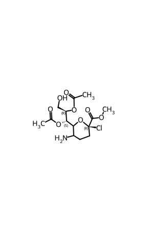 COC(=O)[C@]1(Cl)CCC(N)C([C@H](OC(C)=O)[C@@H](CO)OC(C)=O)O1